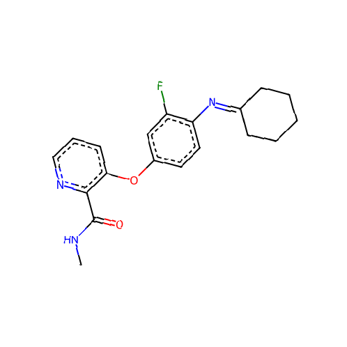 CNC(=O)c1ncccc1Oc1ccc(N=C2CCCCC2)c(F)c1